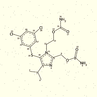 CC(C)c1nc(COC(N)=O)n(CCOC(N)=O)c1Sc1cc(Cl)cc(Cl)c1